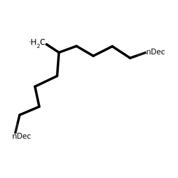 [CH2]C(CCCCCCCCCCCCCC)CCCCCCCCCCCCCC